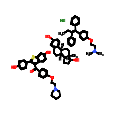 CC/C(=C(\c1ccccc1)c1ccc(OCCN(C)C)cc1)c1ccccc1.C[C@]12CC[C@@H]3c4ccc(O)cc4CC[C@H]3[C@@H]1CC[C@@H]2O.Cl.O=C(c1ccc(OCCN2CCCCC2)cc1)c1c(-c2ccc(O)cc2)sc2cc(O)ccc12